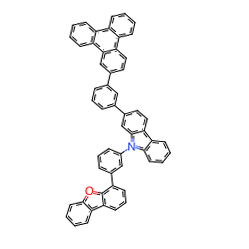 c1cc(-c2ccc3c4ccccc4c4ccccc4c3c2)cc(-c2ccc3c4ccccc4n(-c4cccc(-c5cccc6c5oc5ccccc56)c4)c3c2)c1